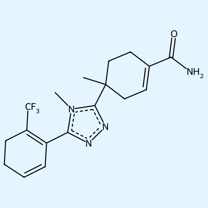 Cn1c(C2=C(C(F)(F)F)CCC=C2)nnc1C1(C)CC=C(C(N)=O)CC1